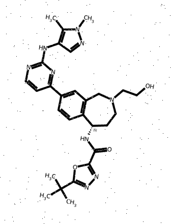 Cc1c(Nc2nccc(-c3ccc4c(c3)CN(CCO)CC[C@@H]4NC(=O)c3nnc(C(C)(C)C)o3)n2)cnn1C